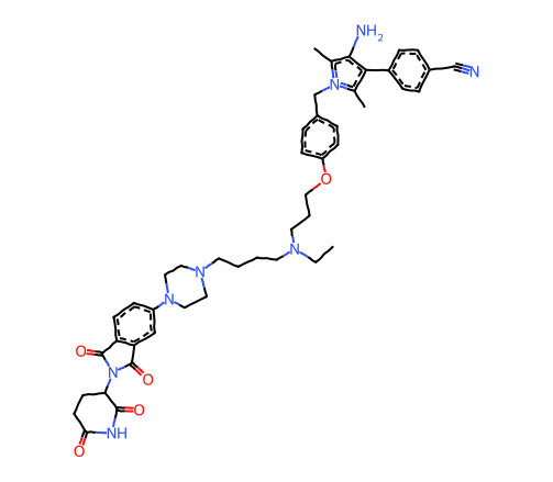 CCN(CCCCN1CCN(c2ccc3c(c2)C(=O)N(C2CCC(=O)NC2=O)C3=O)CC1)CCCOc1ccc(Cn2c(C)c(N)c(-c3ccc(C#N)cc3)c2C)cc1